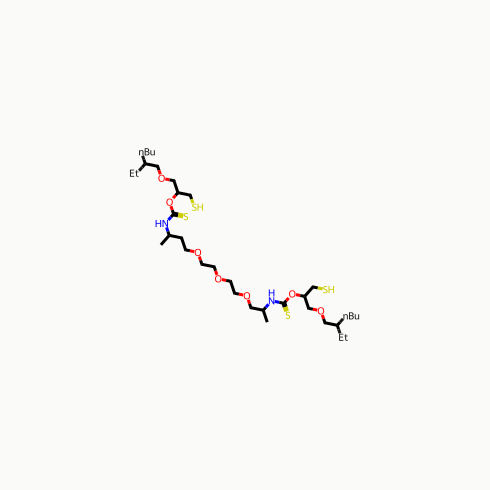 CCCCC(CC)COCC(CS)OC(=S)NC(C)CCOCCOCCOCC(C)NC(=S)OC(CS)COCC(CC)CCCC